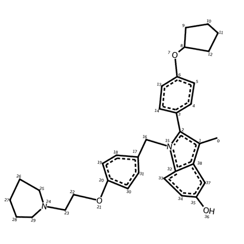 Cc1c(-c2ccc(OC3CCCC3)cc2)n(Cc2ccc(OCCN3CCCCC3)cc2)c2ccc(O)cc12